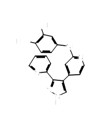 Cc1ccc(Nc2cc(-c3c[nH]nc3-c3ccccn3)ccn2)cc1C